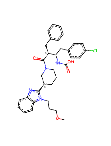 COCCCn1c([C@@H]2CCCN(C(=O)[C@@H](Cc3ccccc3)C(Cc3ccc(Cl)cc3)NC(=O)O)C2)nc2ccccc21